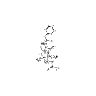 CC(C)(C)C(=O)OC[C@@]1(C(=O)O)N2C(=O)C(N[S+]([O-])Cc3ccccc3)[C@H]2SC1(C)C